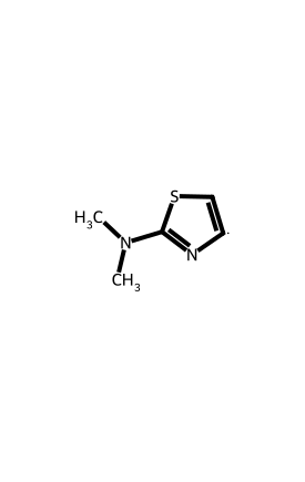 CN(C)c1n[c]cs1